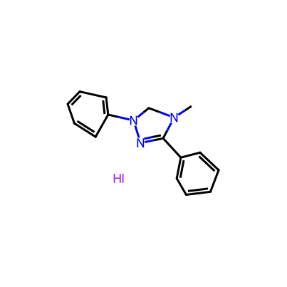 CN1CN(c2ccccc2)N=C1c1ccccc1.I